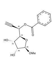 C#C[C@@H](OC(=O)c1ccccc1)[C@H]1O[C@@H](OC)[C@H](O)[C@@H]1O